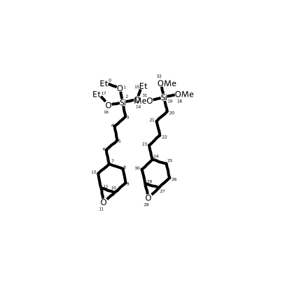 CCO[Si](CCCCC1CCC2OC2C1)(OCC)OCC.CO[Si](CCCCC1CCC2OC2C1)(OC)OC